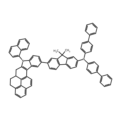 CC1(C)c2cc(-c3ccc4c(c3)c3c(n4-c4cccc5ccccc45)CC4CCc5cccc6ccc-3c4c56)ccc2-c2ccc(N(c3ccc(-c4ccccc4)cc3)c3ccc(-c4ccccc4)cc3)cc21